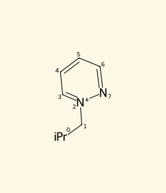 CC(C)C[n+]1ccccn1